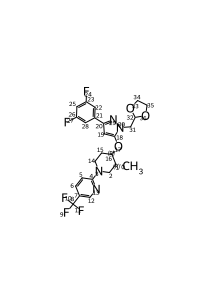 C[C@@H]1CN(c2ccc(C(F)(F)F)cn2)CC[C@H]1Oc1cc(-c2cc(F)cc(F)c2)nn1CC1OCCO1